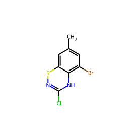 Cc1cc(Br)c2c(c1)SN=C(Cl)N2